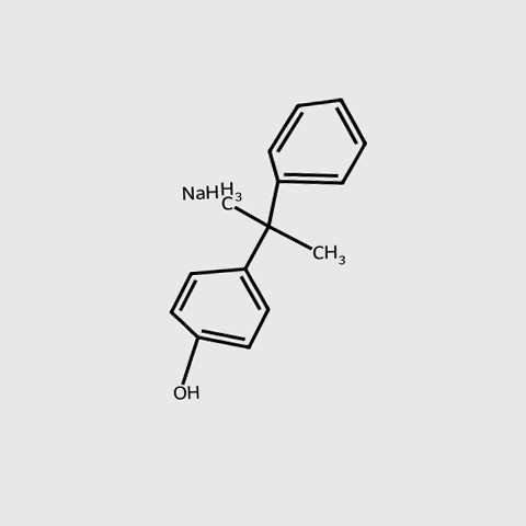 CC(C)(c1ccccc1)c1ccc(O)cc1.[NaH]